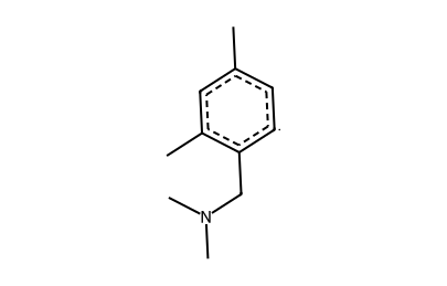 Cc1c[c]c(CN(C)C)c(C)c1